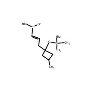 CC1CC(C/C=N/[S+]([O-])C(C)(C)C)(O[Si](C)(C)C(C)(C)C)C1